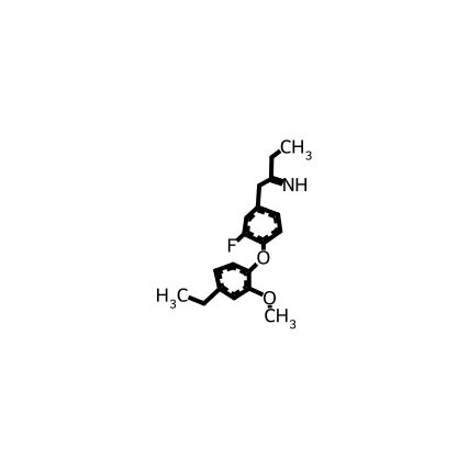 CCC(=N)Cc1ccc(Oc2ccc(CC)cc2OC)c(F)c1